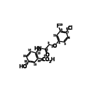 O=C(COc1ccc(Cl)c(F)c1)Nc1ccc(O)cc1C(=O)O